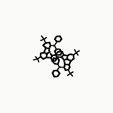 CC(C)(C)c1cc(N(c2ccccc2)c2ccccc2)c2c(c1)c1cc(C(C)(C)C)cc3c4ccc5c(ccc6c7cc(C(C)(C)C)cc8c9cc(C(C)(C)C)cc(N(c%10ccccc%10)c%10ccccc%10)c9n(c87)c65)c4n2c13